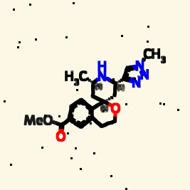 COC(=O)c1ccc2c(c1)CCO[C@@]21C[C@@H](c2cn(C)nn2)N[C@@H](C)C1